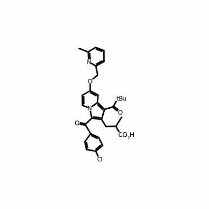 Cc1cccc(COc2ccn3c(C(=O)c4ccc(Cl)cc4)c(CC(C)C(=O)O)c(C(=O)C(C)(C)C)c3c2)n1